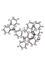 CC1(C)c2ccccc2-c2cccc(N(c3ccc(-n4c5ccccc5c5ccccc54)cc3)c3ccccc3-c3ccc4oc5cc6ccccc6cc5c4c3)c21